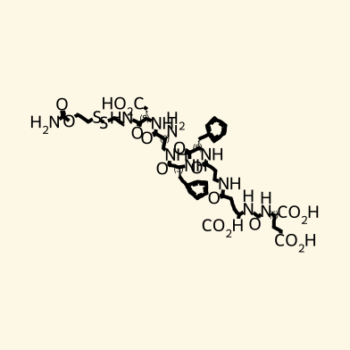 NC(=O)OCCSSCCNC(=O)[C@H](CC(=O)O)NC(=O)[C@@H](N)CNC(=O)[C@H](Cc1ccccc1)NC(=O)[C@H](Cc1ccccc1)NC(=O)CCNC(=O)CCC(NC(=O)N[C@@H](CCC(=O)O)C(=O)O)C(=O)O